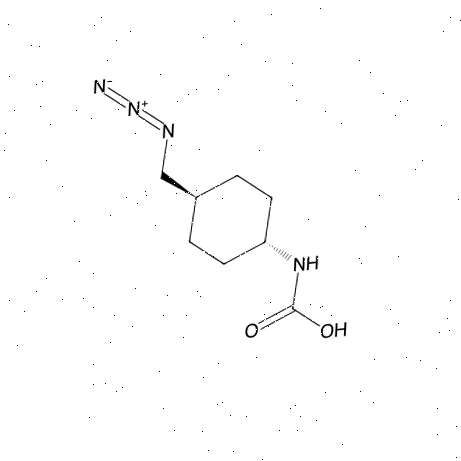 [N-]=[N+]=NC[C@H]1CC[C@H](NC(=O)O)CC1